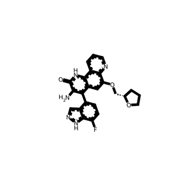 Nc1c(-c2ccc(F)c3[nH]ncc23)c2cc(OC[C@@H]3CCCO3)c3ncccc3c2[nH]c1=O